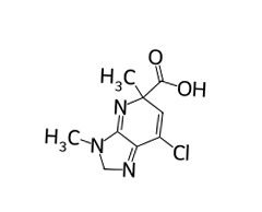 CN1CN=C2C(Cl)=CC(C)(C(=O)O)N=C21